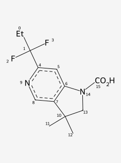 CCC(F)(F)c1cc2c(cn1)C(C)(C)CN2C(=O)O